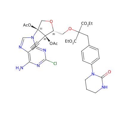 C#C[C@@]1(OC(C)=O)[C@@H](COC(Cc2ccc(N3CCCNC3=O)cc2)(C(=O)OCC)C(=O)OCC)OC[C@@]1(OC(C)=O)n1cnc2c(N)nc(Cl)nc21